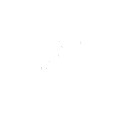 C=CCN1CCC[C@@H]1Cc1c[nH]c2ccccc12